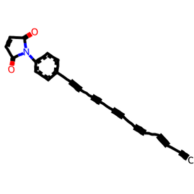 C#CC#CC#CC#CC#CC#Cc1ccc(N2C(=O)C=CC2=O)cc1